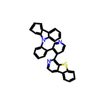 c1ccc(-n2c3ccccc3c3ccccc32)c(-c2cnccc2-c2nccc3c2sc2ccccc23)c1